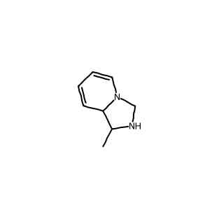 CC1NCN2C=CC=CC12